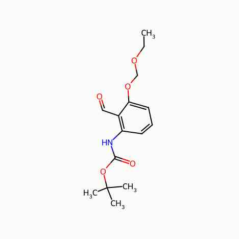 CCOCOc1cccc(NC(=O)OC(C)(C)C)c1C=O